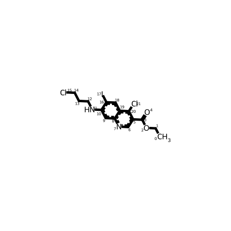 CCOC(=O)c1cnc2cc(NCCCCl)c(I)cc2c1Cl